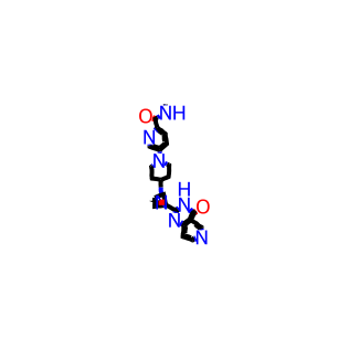 CNC(=O)c1ccc(N2CCC(N3CC4(c5nc6ccncc6c(=O)[nH]5)CC3C4)CC2)cn1